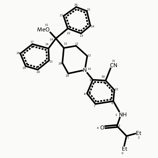 CCC(CC)C(=O)Nc1ccc(N2CCC(C(OC)(c3ccccc3)c3ccccc3)CC2)c(C#N)c1